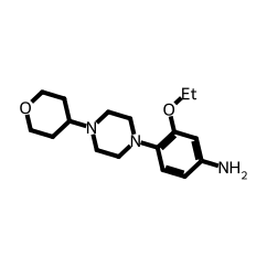 CCOc1cc(N)ccc1N1CCN(C2CCOCC2)CC1